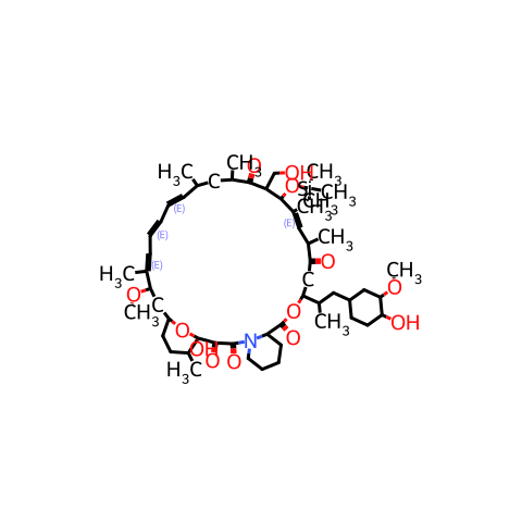 COC1CC2CCC(C)C(O)(O2)C(=O)C(=O)N2CCCCC2C(=O)OC(C(C)CC2CCC(O)C(OC)C2)CC(=O)C(C)/C=C(\C)C(O[Si](C)(C)C)C(CO)C(=O)C(C)CC(C)/C=C/C=C/C=C/1C